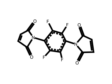 O=C1C=CC(=O)N1c1c(F)c(F)c(N2C(=O)C=CC2=O)c(F)c1F